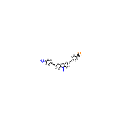 [2H]B(P)c1ccc(C#Cc2ccc(Nc3ccc(C#Cc4ccc(N)cc4)cc3)cc2)cc1